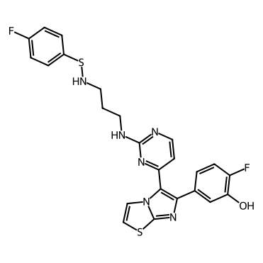 Oc1cc(-c2nc3sccn3c2-c2ccnc(NCCCNSc3ccc(F)cc3)n2)ccc1F